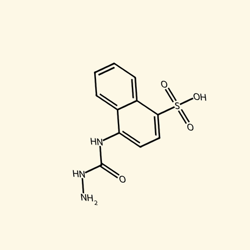 NNC(=O)Nc1ccc(S(=O)(=O)O)c2ccccc12